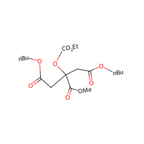 CCCCOC(=O)CC(CC(=O)OCCCC)(OC(=O)OCC)C(=O)OC